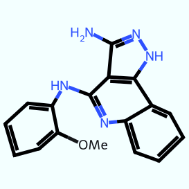 COc1ccccc1Nc1nc2ccccc2c2[nH]nc(N)c12